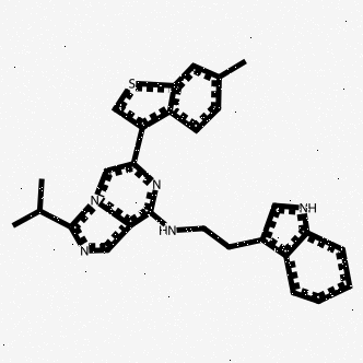 Cc1ccc2c(-c3cn4c(C(C)C)ncc4c(NCCc4c[nH]c5ccccc45)n3)csc2c1